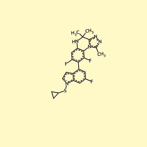 Cc1nnc2n1-c1c(cc(F)c(-c3cc(F)cc4c3ccn4SC3CC3)c1F)NC2(C)C